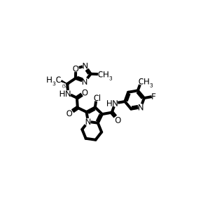 Cc1noc([C@H](C)NC(=O)C(=O)c2c(Cl)c(C(=O)Nc3cnc(F)c(C)c3)c3n2CCCC3)n1